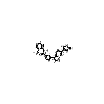 Nc1cccnc1NC(=O)c1cc(-c2cnn3cc(-c4cn[nH]c4)cnc23)cs1